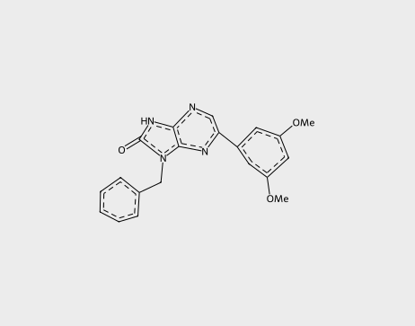 COc1cc(OC)cc(-c2cnc3[nH]c(=O)n(Cc4ccccc4)c3n2)c1